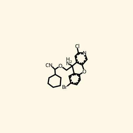 [C-]#[N+]C(OCC1(N)c2cc(Br)ccc2Oc2cnc(Cl)cc21)C1CCCCC1